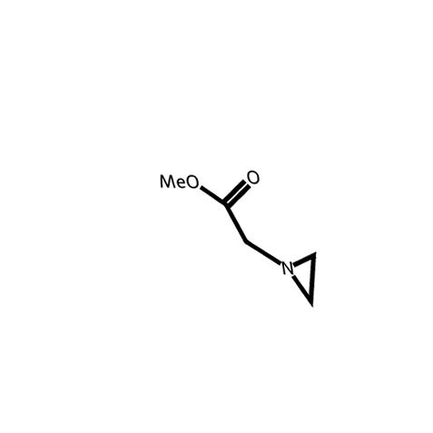 COC(=O)CN1CC1